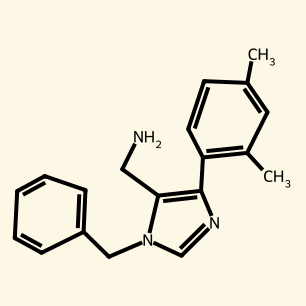 Cc1ccc(-c2ncn(Cc3ccccc3)c2CN)c(C)c1